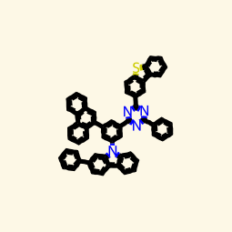 c1ccc(-c2ccc3c4ccccc4n(-c4cc(-c5nc(-c6ccccc6)nc(-c6ccc7sc8ccccc8c7c6)n5)cc(-c5cc6ccccc6c6ccccc56)c4)c3c2)cc1